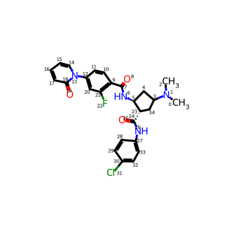 CN(C)C1C[C@H](NC(=O)c2ccc(-n3ccccc3=O)cc2F)[C@@H](C(=O)Nc2ccc(Cl)cc2)C1